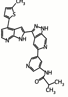 Cc1ccc(-c2ccnc3[nH]c(-c4n[nH]c5cnc(-c6cncc(NC(=O)C(C)C)c6)cc45)cc23)s1